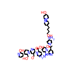 CC(=O)c1ccncc1.NNc1ccccn1.Nc1ccncc1.O=C(O)c1ccccn1.O=Cc1ccncc1.OCCCCc1ccncc1.OCc1ccccn1.Oc1ccccn1.Oc1ccncc1